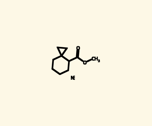 COC(=O)C1CCCCC12CC2.[N]